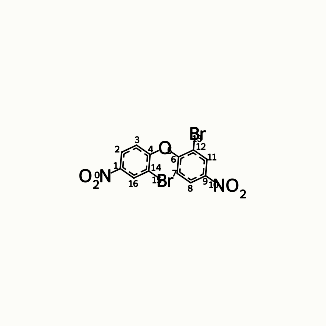 O=[N+]([O-])c1ccc(Oc2ccc([N+](=O)[O-])cc2Br)c(Br)c1